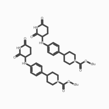 CC(C)(C)OC(=O)N1CCC(c2ccc(NC3CCC(=O)NC3=O)cc2)CC1.CC(C)(C)OC(=O)N1CCC(c2ccc(NC3CCC(=O)NC3=O)cc2)CC1